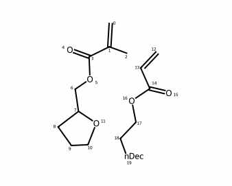 C=C(C)C(=O)OCC1CCCO1.C=CC(=O)OCCCCCCCCCCCC